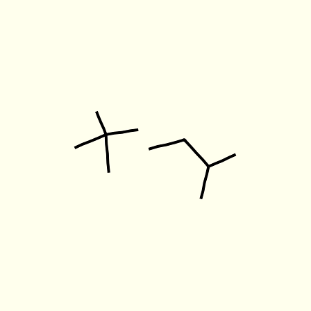 CC(C)(C)C.CCC(C)C